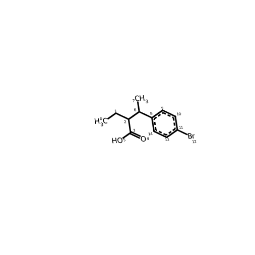 CCC(C(=O)O)C(C)c1[c]cc(Br)cc1